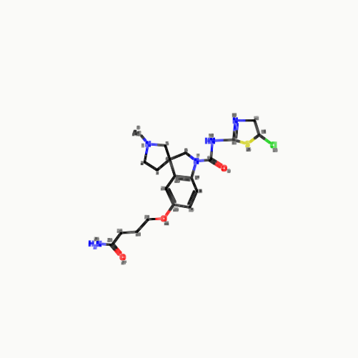 CC(=O)N1CCC2(C1)CN(C(=O)NC1=NCC(Cl)S1)c1ccc(OCCCC(N)=O)cc12